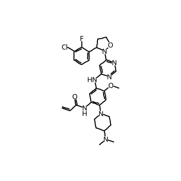 C=CC(=O)Nc1cc(Nc2cc(N3OCCC3c3cccc(Cl)c3F)ncn2)c(OC)cc1N1CCC(N(C)C)CC1